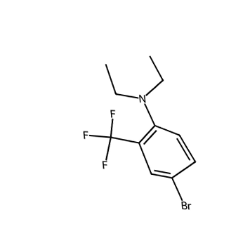 CCN(CC)c1ccc(Br)cc1C(F)(F)F